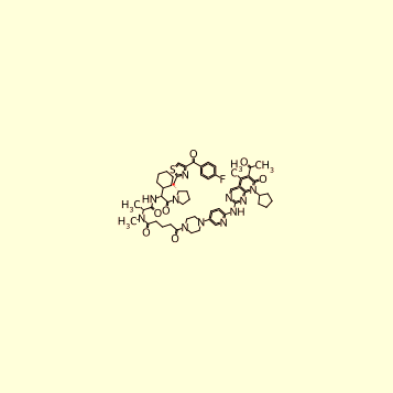 CC(=O)c1c(C)c2cnc(Nc3ccc(N4CCN(C(=O)CCCC(=O)N(C)[C@@H](C)C(=O)N[C@H](C(=O)N5CCC[C@H]5Cc5nc(C(=O)c6ccc(F)cc6)cs5)C5CCCCC5)CC4)cn3)nc2n(C2CCCC2)c1=O